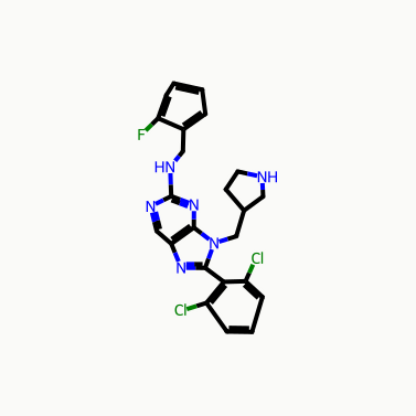 Fc1ccccc1CNc1ncc2nc(-c3c(Cl)cccc3Cl)n(CC3CCNC3)c2n1